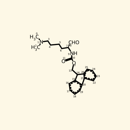 CN(C)CCCC[C@@H](C=O)NC(=O)OCC1c2ccccc2-c2ccccc21